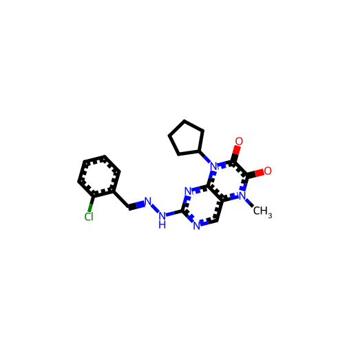 Cn1c(=O)c(=O)n(C2CCCC2)c2nc(N/N=C/c3ccccc3Cl)ncc21